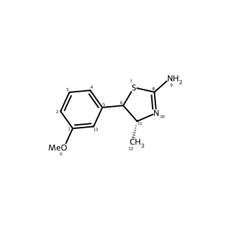 COc1cccc(C2SC(N)=N[C@@H]2C)c1